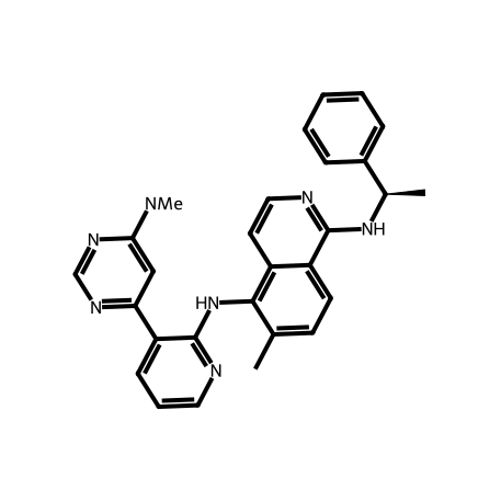 CNc1cc(-c2cccnc2Nc2c(C)ccc3c(N[C@H](C)c4ccccc4)nccc23)ncn1